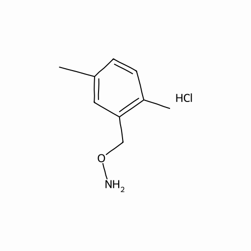 Cc1ccc(C)c(CON)c1.Cl